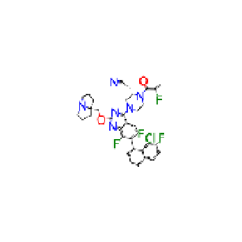 C=C(F)C(=O)N1CCN(c2nc(OCC34CCCN3CCC4)nc3c(F)c(-c4cccc5ccc(F)c(Cl)c45)c(F)cc23)C[C@@H]1CC#N